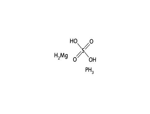 O=S(=O)(O)O.P.[MgH2]